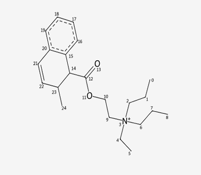 CCC[N+](CC)(CCC)CCOC(=O)C1c2ccccc2C=CC1C